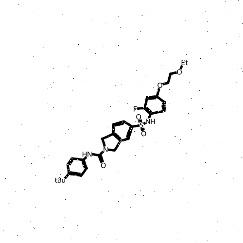 CCOCCOc1ccc(NS(=O)(=O)c2ccc3c(c2)CN(C(=O)Nc2ccc(C(C)(C)C)cc2)C3)c(F)c1